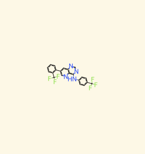 FC(F)(F)c1ccc(Nc2ncnc3cc(-c4ccccc4C(F)(F)F)cnc23)cc1